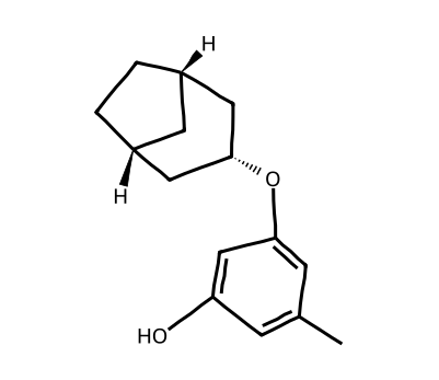 Cc1cc(O)cc(O[C@@H]2C[C@@H]3CC[C@@H](C3)C2)c1